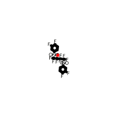 O=S(=O)(c1ccc(F)c(F)c1)C(F)(F)C(F)(F)C(F)(F)C(F)(F)S(=O)(=O)c1ccc(F)c(F)c1